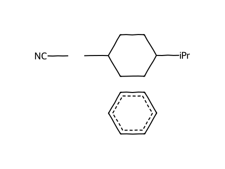 CC#N.CC1CCC(C(C)C)CC1.c1ccccc1